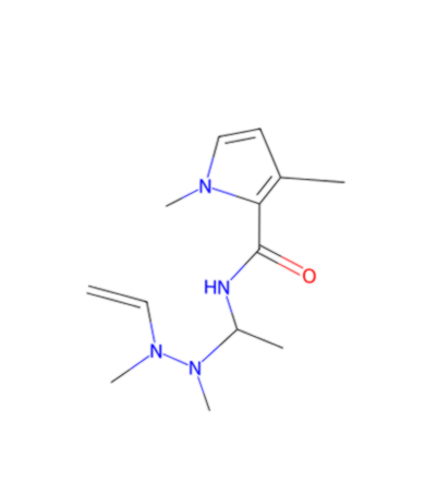 C=CN(C)N(C)C(C)NC(=O)c1c(C)ccn1C